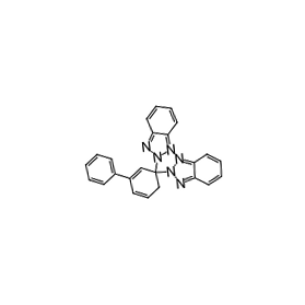 C1=CC(c2ccccc2)=CC(n2nc3ccccc3n2)(n2nc3ccccc3n2)C1